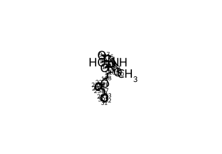 COC[C@@H]1Nn2ccc(=O)c(O)c2C(=O)N1CCCCOc1ccccc1Cc1ccccc1